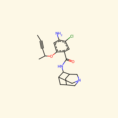 CC#CC(C)Oc1cc(N)c(Cl)cc1C(=O)NC1C2CC3CC1CN(C3)C2